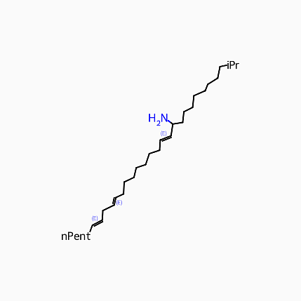 CCCCC/C=C/C/C=C/CCCCCCC/C=C/C(N)CCCCCCCCC(C)C